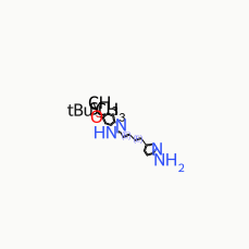 CC(C)(C)[Si](C)(C)Oc1ccc2nc(/C=C/C=C/c3ccc(N)nc3)[nH]c2c1